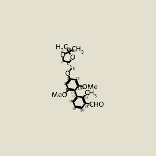 COc1cc(OC[C@@H]2COC(C)(C)O2)cc(OC)c1-c1cccc(C=O)c1C